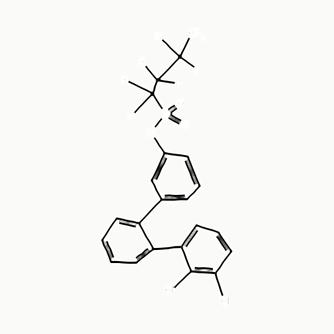 O=S(=O)(Oc1cccc(-c2ccccc2-c2cccc(Cl)c2Cl)c1)C(F)(F)C(F)(F)C(F)(F)C(F)(F)F